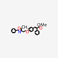 COC(=O)/C(=C/c1ccc(OCCc2nc(-c3ccccc3)oc2C)cc1)c1ccccc1